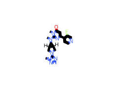 CN(c1nc(-c2ccncc2F)cc(=O)n1C)C1[C@H]2CN(c3nnnn3C)C[C@@H]12